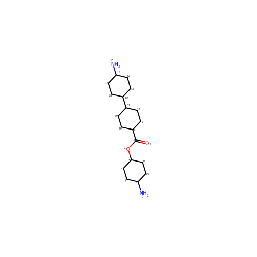 NC1CCC(OC(=O)C2CCC(C3CCC(N)CC3)CC2)CC1